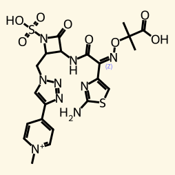 C[n+]1ccc(-c2cn(CC3C(NC(=O)/C(=N\OC(C)(C)C(=O)O)c4csc(N)n4)C(=O)N3S(=O)(=O)O)nn2)cc1